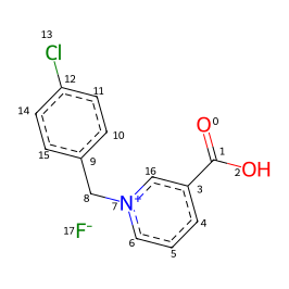 O=C(O)c1ccc[n+](Cc2ccc(Cl)cc2)c1.[F-]